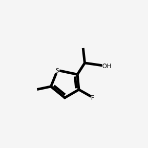 Cc1cc(F)c(C(C)O)s1